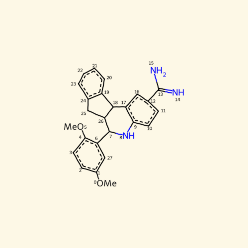 COc1ccc(OC)c(C2Nc3ccc(C(=N)N)cc3C3c4ccccc4CC23)c1